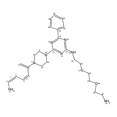 C=C(/C=C\C=C/N)N1CCN(c2nc(NCCOCCOCCN)nc(-c3ccccc3)n2)CC1